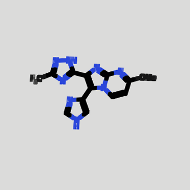 COc1ccn2c(-c3c[nH]cn3)c(-c3nc(C(F)(F)F)n[nH]3)nc2n1